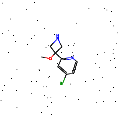 COC1(c2cc(Br)ccn2)CNC1